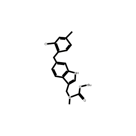 Cc1ccc(Cc2ccc3c(CN(C)C(=O)OC(C)(C)C)c[nH]c3c2)c(Cl)c1